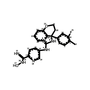 Cc1ccc([C@@]2(NC(=O)Nc3ccc(C(=N)NO)nc3)CCOc3cccnc32)cc1F